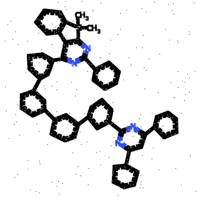 C[Si]1(C)c2ccccc2-c2c(-c3cccc(-c4cccc(-c5cccc(-c6cccc(-c7nc(-c8ccccc8)cc(-c8ccccc8)n7)c6)c5)c4)c3)nc(-c3ccccc3)nc21